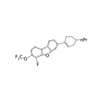 CCCC1CC=C(c2ccc3c(c2)oc2c(F)c(OC(F)(F)F)ccc23)CC1